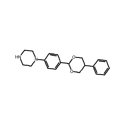 c1ccc(C2COC(c3ccc(N4CCNCC4)cc3)OC2)cc1